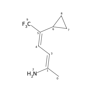 C/C(N)=C/C=C(\C1CC1)C(F)(F)F